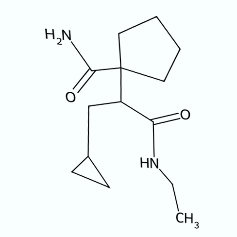 CCNC(=O)C(CC1CC1)C1(C(N)=O)CCCC1